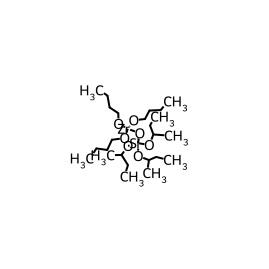 CCCC[O][Zr]([O]CCCC)([O]CCCC)[O][Si](OC(C)CC)(OC(C)CC)OC(C)CC